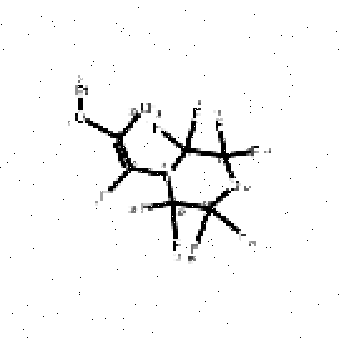 CCO/C(=C(\F)N1C(F)(F)C(F)(F)OC(F)(F)C1(F)F)C(F)(F)F